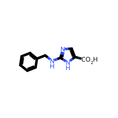 O=C(O)c1cnc(NCc2ccccc2)[nH]1